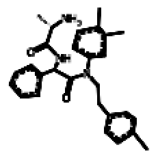 Cc1ccc(CCN(C(=O)[C@H](NC(=O)[C@H](C)N)c2ccccc2)c2ccc(C)c(C)c2)cc1